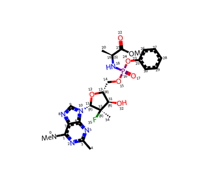 CNc1nc(C)nc2c1ncn2[C@@H]1O[C@H](COP(=O)(N[C@@H](C)C(=O)OC)Oc2ccccc2)[C@@H](O)[C@@]1(C)F